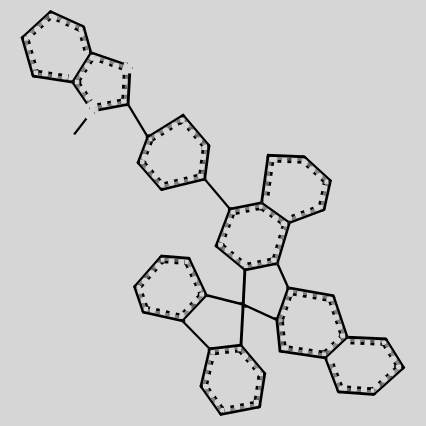 CCCn1c(-c2ccc(-c3cc4c(c5ccccc35)-c3cc5ccccc5cc3C43c4ccccc4-c4ccccc43)cc2)nc2ccccc21